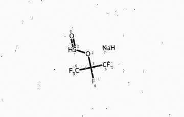 O=[SH]OC(F)(C(F)(F)F)C(F)(F)F.[NaH]